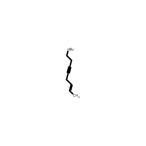 C/C=C/CC#CCCCCCC